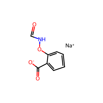 O=CNOc1ccccc1C(=O)[O-].[Na+]